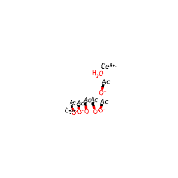 CC(=O)[O-].CC(=O)[O-].CC(=O)[O-].CC(=O)[O-].CC(=O)[O-].CC(=O)[O-].O.[Ce+3].[Ce+3]